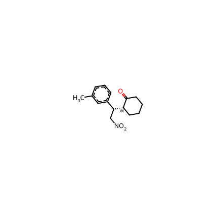 Cc1cccc(C(C[N+](=O)[O-])[C@H]2CCCCC2=O)c1